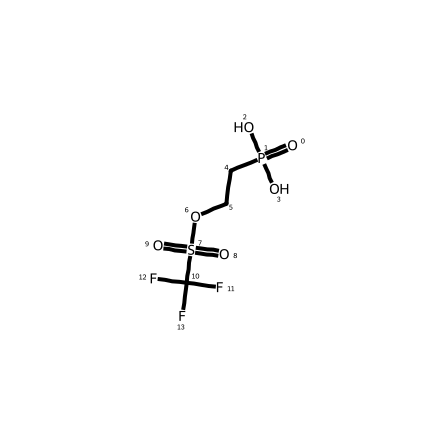 O=P(O)(O)CCOS(=O)(=O)C(F)(F)F